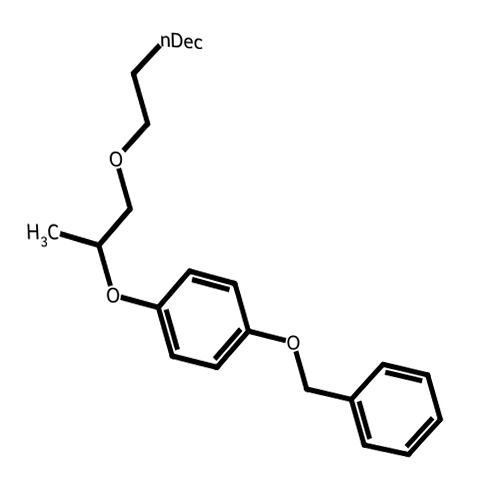 CCCCCCCCCCCCOCC(C)Oc1ccc(OCc2ccccc2)cc1